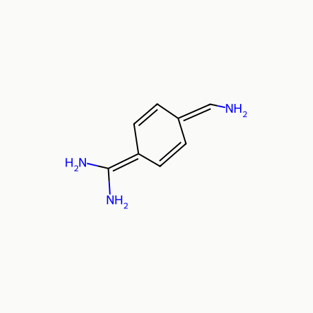 NC=c1ccc(=C(N)N)cc1